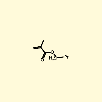 C=C(C)C(=O)O[SiH2]C(C)C